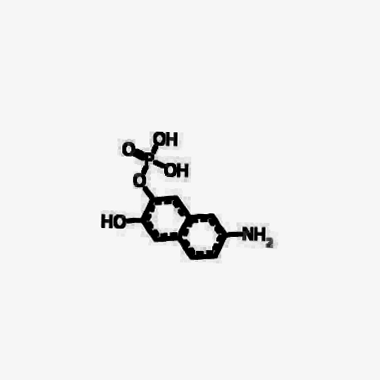 Nc1ccc2cc(O)c(OP(=O)(O)O)cc2c1